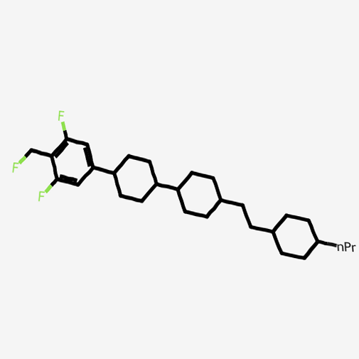 CCCC1CCC(CCC2CCC(C3CCC(c4cc(F)c(CF)c(F)c4)CC3)CC2)CC1